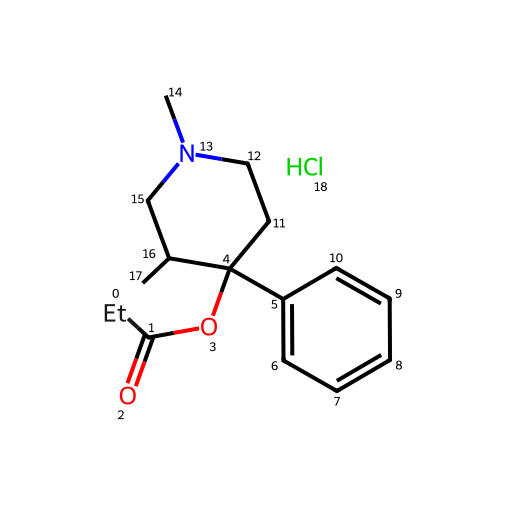 CCC(=O)OC1(c2ccccc2)CCN(C)CC1C.Cl